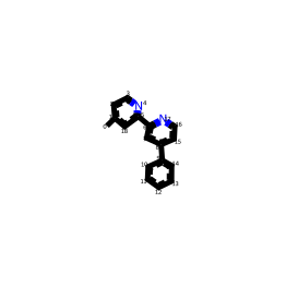 Cc1ccnc(-c2cc(-c3ccccc3)ccn2)c1